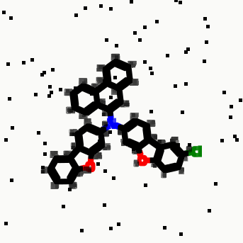 Clc1ccc2oc3cc(N(c4ccc5c(c4)oc4ccccc45)c4cc5ccccc5c5ccccc45)ccc3c2c1